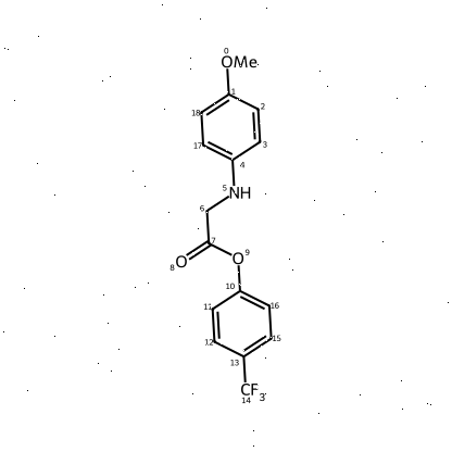 COc1ccc(NCC(=O)Oc2ccc(C(F)(F)F)cc2)cc1